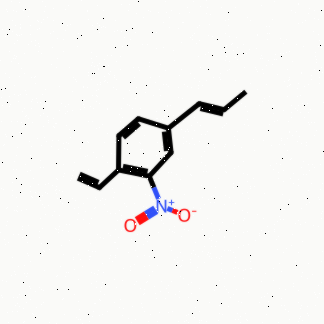 C=Cc1ccc(/C=C/C)cc1[N+](=O)[O-]